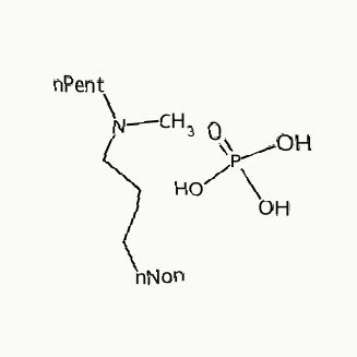 CCCCCCCCCCCCN(C)CCCCC.O=P(O)(O)O